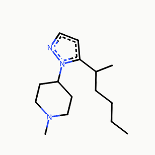 CCCCC(C)c1ccnn1C1CCN(C)CC1